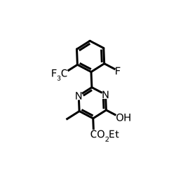 CCOC(=O)c1c(C)nc(-c2c(F)cccc2C(F)(F)F)nc1O